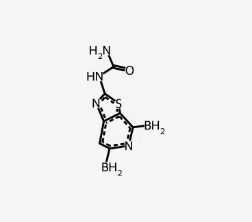 Bc1cc2nc(NC(N)=O)sc2c(B)n1